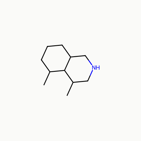 CC1CCCC2CNCC(C)C12